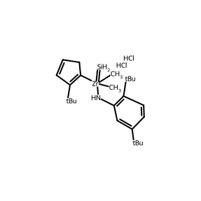 CC(C)(C)C1=[C]([Zr]([CH3])([CH3])(=[SiH2])[NH]c2cc(C(C)(C)C)ccc2C(C)(C)C)CC=C1.Cl.Cl